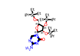 CC[Si](CC)(OC[C@H]1O[C@@H](n2cnc(N)nc2=O)[C@H](O[Si](CC)(CC)C(C)C)[C@@H]1O[Si](CC)(CC)C(C)C)C(C)C